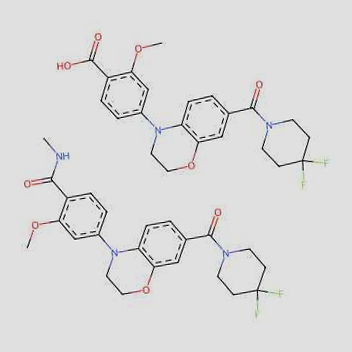 CNC(=O)c1ccc(N2CCOc3cc(C(=O)N4CCC(F)(F)CC4)ccc32)cc1OC.COc1cc(N2CCOc3cc(C(=O)N4CCC(F)(F)CC4)ccc32)ccc1C(=O)O